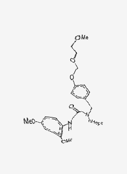 CCCCCCCN(Cc1ccc(OCOCCOC)cc1)C(=O)Nc1ccc(OC)cc1OC